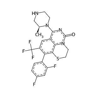 C[C@H]1CNCCN1c1nc(=O)n2c3c(c(-c4ccc(F)cc4F)c(C(F)(F)F)cc13)SCC2